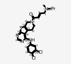 CC(C)N(C)CC=CC(=O)N1CCc2c(sc3ncnc(Nc4ccc(Cl)c(Cl)c4)c23)C1